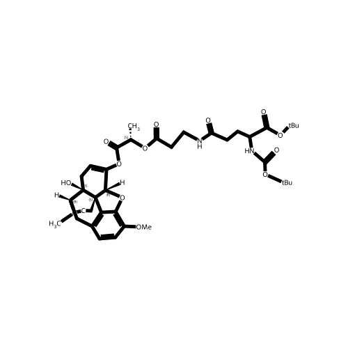 COc1ccc2c3c1O[C@H]1C(OC(=O)[C@H](C)OC(=O)CCNC(=O)CCC(NC(=O)OC(C)(C)C)C(=O)OC(C)(C)C)=CC[C@@]4(O)[C@@H](C2)N(C)CC[C@]314